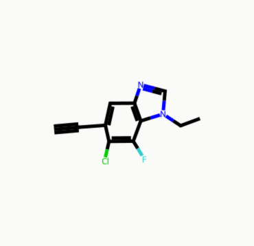 C#Cc1cc2ncn(CC)c2c(F)c1Cl